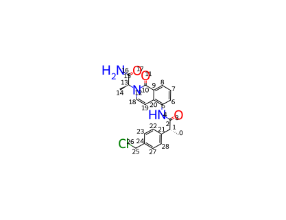 C[C@@H](C(=O)Nc1cccc2c(=O)n([C@@H](C)C(N)=O)ccc12)c1ccc(CCl)cc1